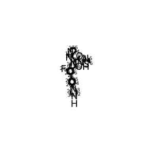 O=C(Nc1nccs1)C(c1ncn2c1CCC2)N1Cc2c(F)cc(-c3ccc(N4CCNCC4)cc3)cc2C1O